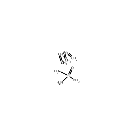 C=C.C=C.C=C.NP(N)(N)=O